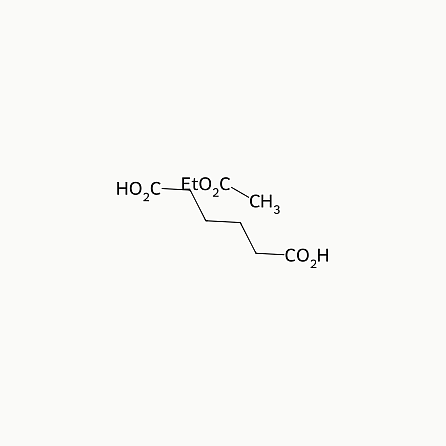 CCOC(C)=O.O=C(O)CCCCC(=O)O